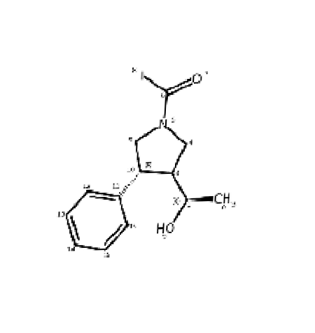 C[C@@H](O)C1CN(C(=O)I)C[C@H]1c1ccccc1